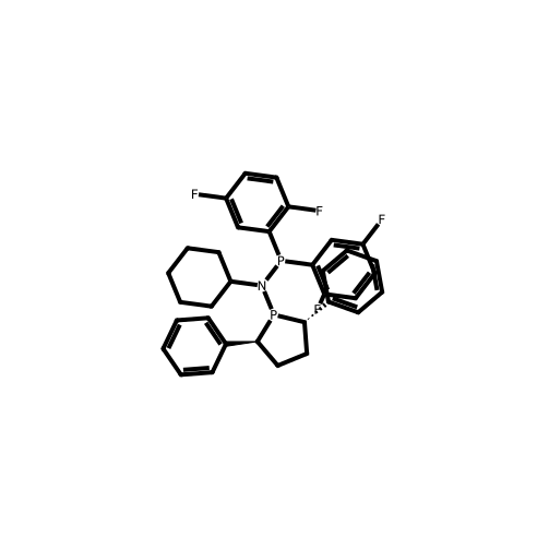 Fc1ccc(F)c(P(c2cc(F)ccc2F)N(C2CCCCC2)P2[C@H](c3ccccc3)CC[C@H]2c2ccccc2)c1